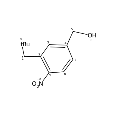 CC(C)(C)[CH]c1cc(CO)ccc1[N+](=O)[O-]